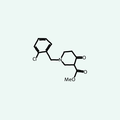 COC(=O)C1CN(Cc2ccccc2Cl)CCC1=O